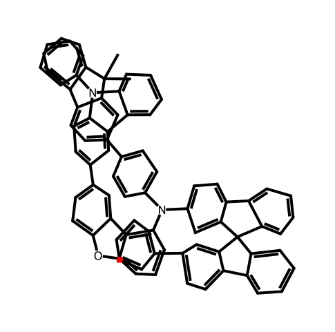 CC1(C)c2ccccc2-c2ccc(-c3ccc(N(c4ccc5c(c4)C4(c6ccccc6-c6ccc(-c7ccccc7)cc64)c4ccccc4-5)c4cccc5oc6ccc(-c7ccc8c(c7)c7ccccc7n8-c7ccccc7)cc6c45)cc3)cc21